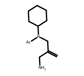 C=C(CN)CN(C(C)=O)C1CCCCC1